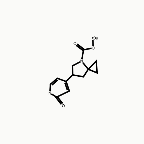 CC(C)(C)OC(=O)N1CC(c2cc[nH]c(=O)c2)CC12CC2